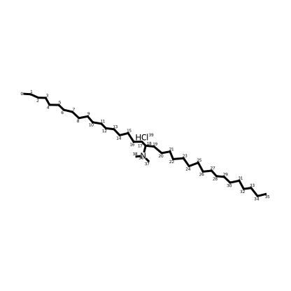 CCCCCCCCCCCCCCCCCCC(CCCCCCCCCCCCCCCCC)N(C)C.Cl